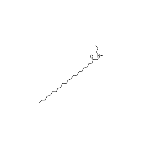 CCCCCCCCCCCCCCCCCCCCCC(=O)CN(C)CCC